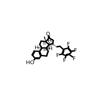 C[C@]12CC[C@@H]3c4ccc(O)cc4CC[C@H]3[C@@H]1[C@@H](CCc1c(F)c(F)c(F)c(F)c1F)CC2=O